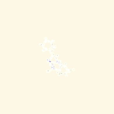 Cc1ccc2c(c1)n1cc(-c3ccccc3)nc1n2C